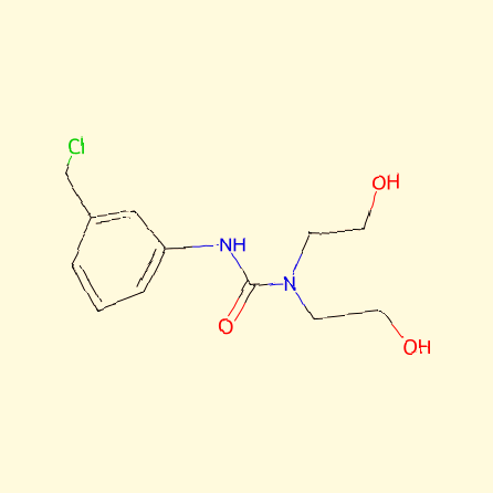 O=C(Nc1cccc(CCl)c1)N(CCO)CCO